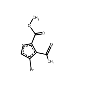 COC(=O)c1scc(Br)c1C(C)=O